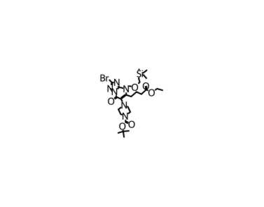 CCOC(=O)CCCc1c(N2CCN(C(=O)OC(C)(C)C)CC2)c(=O)n2nc(Br)nc2n1COCC[Si](C)(C)C